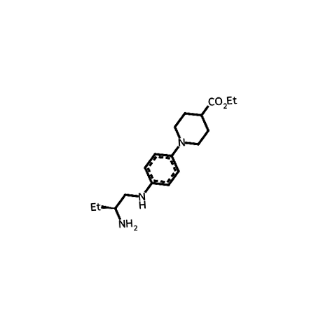 CCOC(=O)C1CCN(c2ccc(NC[C@@H](N)CC)cc2)CC1